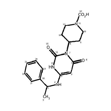 CC(Nc1cc(=O)n(C2CCN(C(=O)O)CC2)c(=O)[nH]1)c1ccccc1